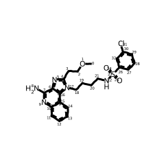 COCCc1nc2c(N)nc3ccccc3c2n1CCCCNS(=O)(=O)c1cccc(Cl)c1